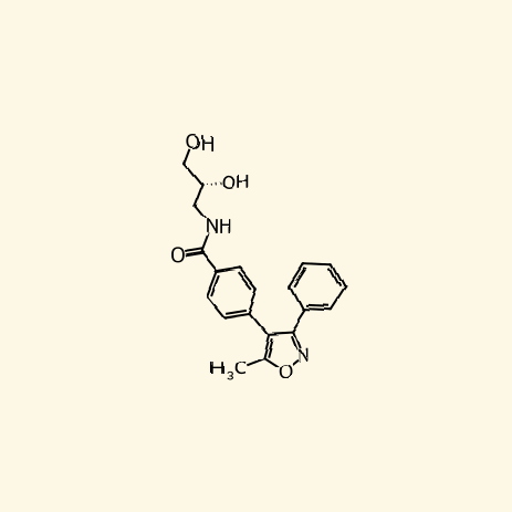 Cc1onc(-c2ccccc2)c1-c1ccc(C(=O)NC[C@@H](O)CO)cc1